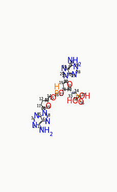 Nc1ncnc2c1ncn2[C@H]1CC[C@@H](COPOC2C[C@H](n3cnc4c(N)ncnc43)O[C@@H]2/C=C/P(=O)(O)O)O1